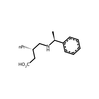 CCC[C@H](CN[C@@H](C)c1ccccc1)CC(=O)O